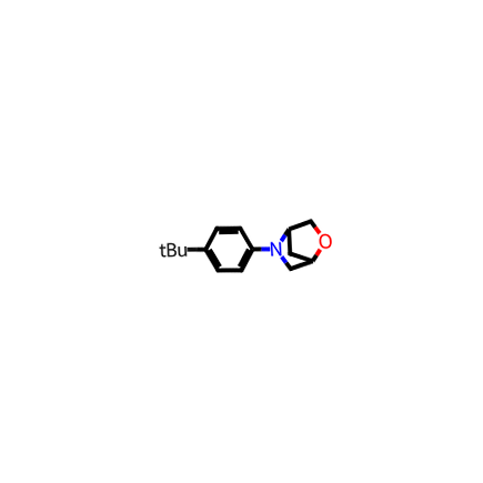 CC(C)(C)c1ccc(N2CC3CC2CO3)cc1